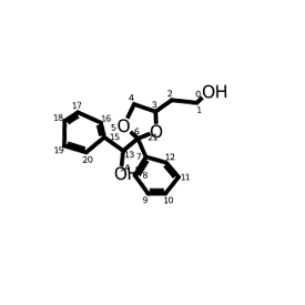 OCCC1COC(c2ccccc2)(C(O)c2ccccc2)O1